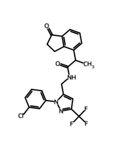 CC(C(=O)NCc1cc(C(F)(F)F)nn1-c1cccc(Cl)c1)c1cccc2c1CCC2=O